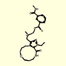 CCn1nc(C[C@@H](C)COC(=O)c2cccc(C(=O)NC)c2)c2c1C(=O)NCCCOCCC2